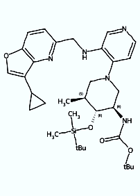 C[C@H]1CN(c2ccncc2NCc2ccc3occ(C4CC4)c3n2)C[C@@H](NC(=O)OC(C)(C)C)[C@@H]1O[Si](C)(C)C(C)(C)C